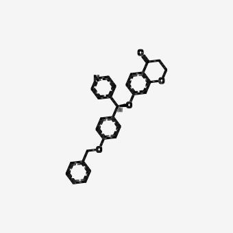 O=C1CCOc2cc(O[C@H](c3ccncc3)c3ccc(OCc4ccccc4)cc3)ccc21